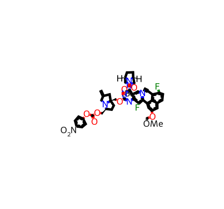 C#Cc1c(F)ccc2cc(OCOC)cc(-c3ncc4c(N5C[C@H]6CC[C@@H](C5)N6C(=O)OC(C)(C)C)nc(OC[C@@]56CC[C@@H](COC(=O)Oc7ccc([N+](=O)[O-])cc7)N5CC(=C)C6)nc4c3F)c12